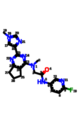 CN(CC(=O)Nc1ccc(F)nc1)c1nc(-c2cn(C)cn2)nc2c1CCC2